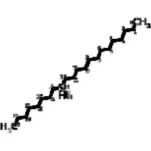 CCCCCCCCCCCCC[SiH](F)CCCCCCCC